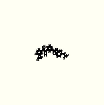 CN(C)Cc1ccc2oc(-c3cccc(NC(=O)c4cccc(N(C)C)c4)c3)nc2n1